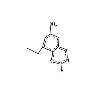 Bc1cc(CC)c2nc(F)ncc2c1